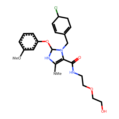 CNC1=C(C(=O)NCCOCCO)N(CC2=CCC(Cl)C=C2)C(Oc2cccc(OC)c2)N1